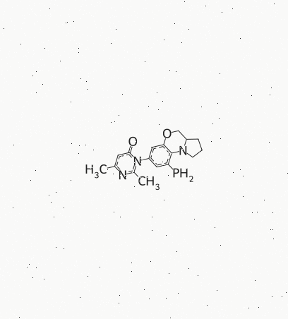 Cc1cc(=O)n(-c2cc(P)c3c(c2)OCC2CCCN32)c(C)n1